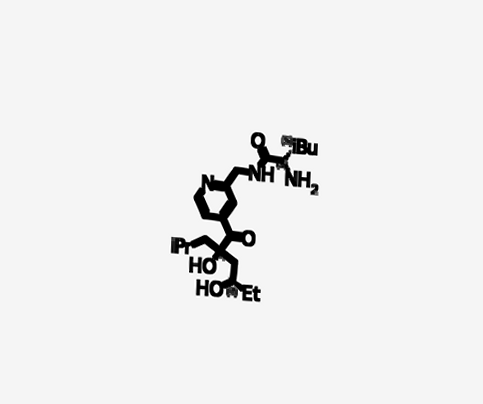 CC[C@@H](O)C[C@](O)(CC(C)C)C(=O)c1ccnc(CNC(=O)[C@@H](N)[C@@H](C)CC)c1